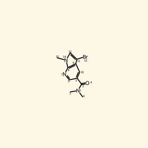 CN(C)C(=O)c1cnc2c(c1)c(Br)cn2C